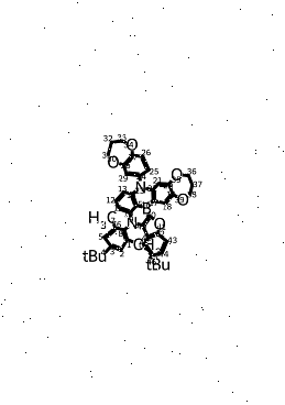 Cc1cc(C(C)(C)C)cc(C)c1N1c2cccc3c2B(c2cc4c(cc2N3c2ccc3c(c2)OCCCO3)OCCCO4)c2oc3ccc(C(C)(C)C)cc3c21